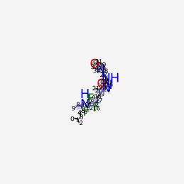 C=C(C)C=CC(F)/C(=C\C)N/C(C)=C(F)/C(F)=C\C/C=C(\C)c1nnc(NCCN2CCOCC2)o1